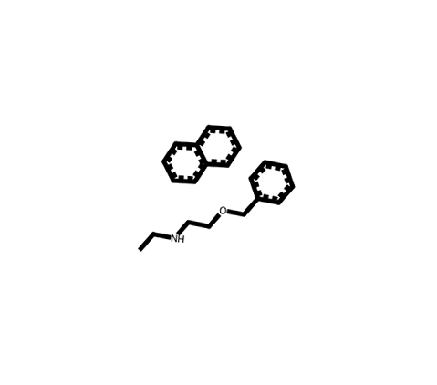 CCNCCOCc1ccccc1.c1ccc2ccccc2c1